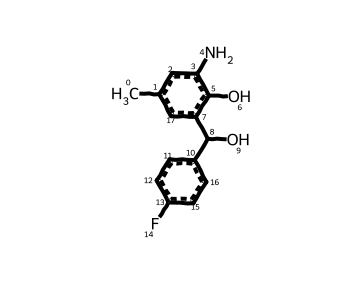 Cc1cc(N)c(O)c(C(O)c2ccc(F)cc2)c1